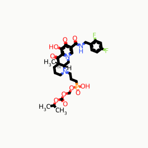 CC(C)OC(=O)OCOP(=O)(O)CCCN1CCC[C@]2(C)C(=O)c3c(O)c(=O)c(C(=O)NCc4ccc(F)cc4F)cn3C[C@H]12